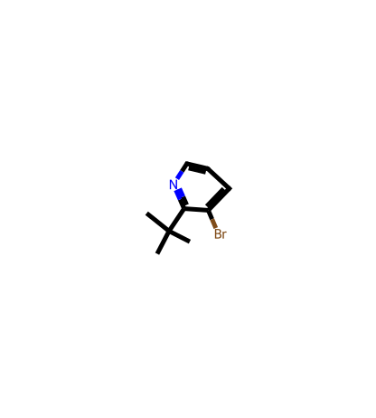 CC(C)(C)c1ncccc1Br